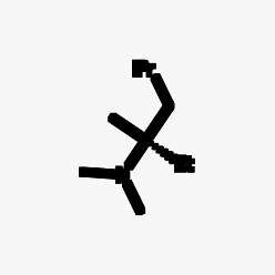 CC[C@](C)(CC(C)C)N(C)C